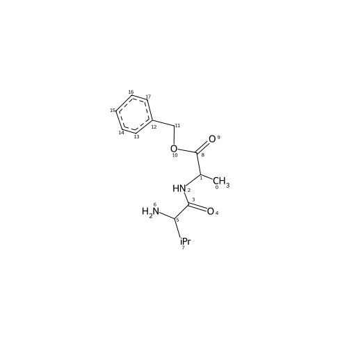 CC(NC(=O)C(N)C(C)C)C(=O)OCc1ccccc1